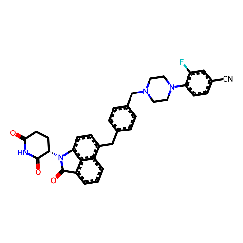 N#Cc1ccc(N2CCN(Cc3ccc(Cc4ccc5c6c(cccc46)C(=O)N5[C@H]4CCC(=O)NC4=O)cc3)CC2)c(F)c1